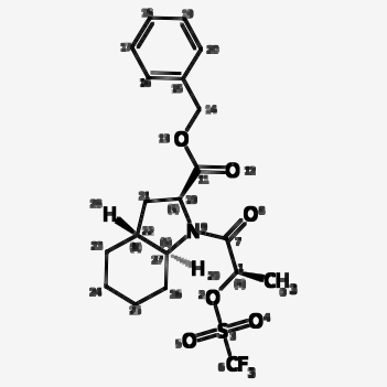 C[C@@H](OS(=O)(=O)C(F)(F)F)C(=O)N1[C@H](C(=O)OCc2ccccc2)C[C@H]2CCCC[C@@H]21